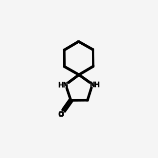 O=C1CNC2(CCCCC2)N1